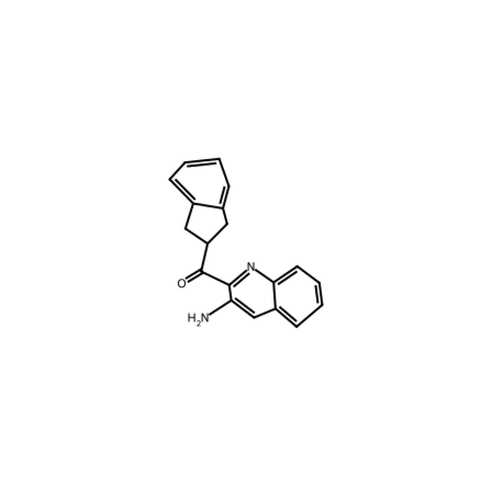 Nc1cc2ccccc2nc1C(=O)C1Cc2ccccc2C1